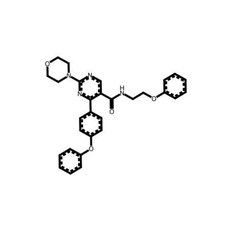 O=C(NCCOc1ccccc1)c1cnc(N2CCOCC2)nc1-c1ccc(Oc2ccccc2)cc1